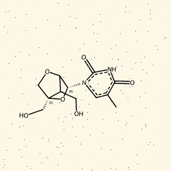 Cc1cn([C@@H]2O[C@@]3(CO)COC2C3CO)c(=O)[nH]c1=O